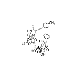 CCC1OC2[C@@H](COP(=O)(O)OP(=O)(O)OP(=O)(O)OP(=O)(O)Cc3ccccc3)O[C@@H](n3cc(C#Cc4ccc(C)cc4)c(=O)[nH]c3=O)[C@H]2O1